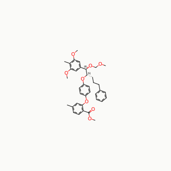 COCO[C@H](c1cc(OC)c(C)c(OC)c1)[C@H](CCCc1ccccc1)Oc1ccc(Oc2cc(C)ccc2C(=O)OC)cc1